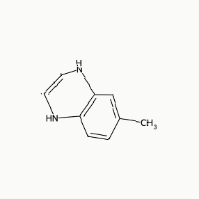 Cc1ccc2c(c1)N[C]=[C]N2